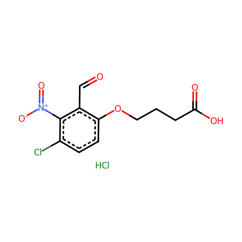 Cl.O=Cc1c(OCCCC(=O)O)ccc(Cl)c1[N+](=O)[O-]